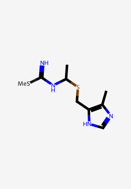 CSC(=N)NC(C)SCc1[nH]cnc1C